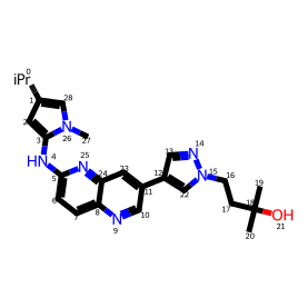 CC(C)c1cc(Nc2ccc3ncc(-c4cnn(CCC(C)(C)O)c4)cc3n2)n(C)c1